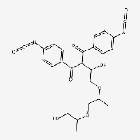 CC(CO)OCC(C)OCC(O)C(C(=O)c1ccc(N=C=O)cc1)C(=O)c1ccc(N=C=O)cc1